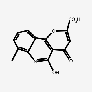 Cc1cccc2c1nc(O)c1c(=O)cc(C(=O)O)oc12